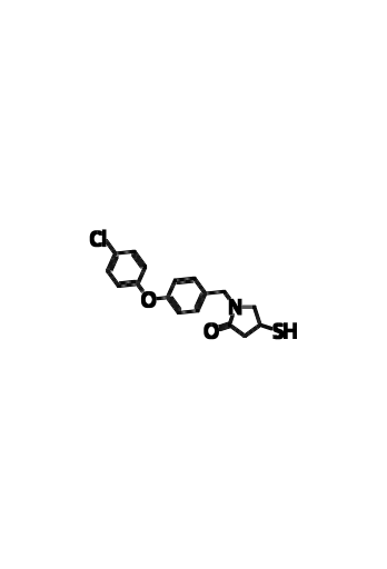 O=C1CC(S)CN1Cc1ccc(Oc2ccc(Cl)cc2)cc1